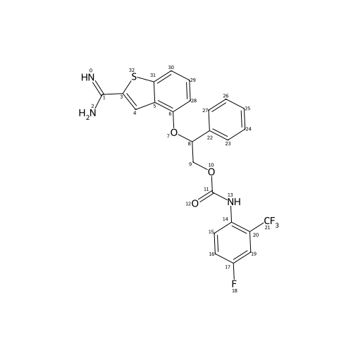 N=C(N)c1cc2c(OC(COC(=O)Nc3ccc(F)cc3C(F)(F)F)c3ccccc3)cccc2s1